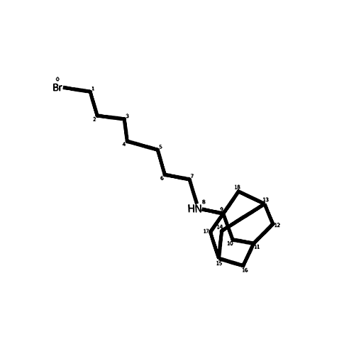 BrCCCCCCCNC12CC3CC(CC(C3)C1)C2